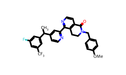 COc1ccc(CN2CCc3c(ccnc3-c3cc(C(C)c4cc(F)cc(C(F)(F)F)c4)ccn3)C2=O)cc1